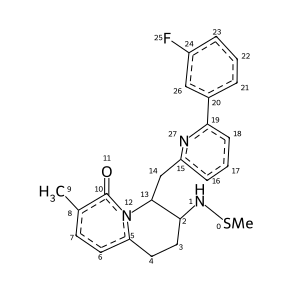 CSNC1CCc2ccc(C)c(=O)n2C1Cc1cccc(-c2cccc(F)c2)n1